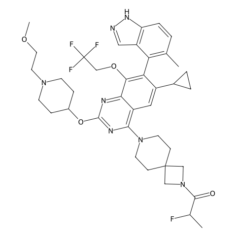 COCCN1CCC(Oc2nc(N3CCC4(CC3)CN(C(=O)C(C)F)C4)c3cc(C4CC4)c(-c4c(C)ccc5[nH]ncc45)c(OCC(F)(F)F)c3n2)CC1